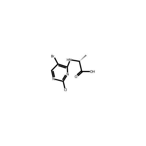 C[C@@H](Nc1nc(Cl)ncc1Br)C(=O)O